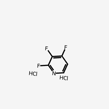 Cl.Cl.Fc1ccnc(F)c1F